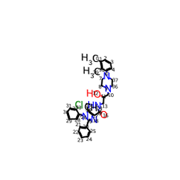 Cc1cccc(N2CCN(CC(O)CNC(=O)c3nc(-c4ccccc4)n(-c4ccccc4Cl)c3C)CC2)c1C